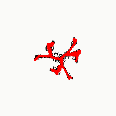 CCCCCC(CC)OC(=O)CCCCCCCCN(CCCCCCCCC(=O)OC(CC)CCCCC)CCCNC(=O)CCc1cc(C(=O)NCCCN(CCCCCCCCC(=O)OC(CC)CCCCC)CCCCCCCCC(=O)OC(CC)CCCCC)cc(C(=O)NCCCN(CCCCCCCCC(=O)OC(CC)CCCCC)CCCCCCCCC(=O)OC(CC)CCCCC)c1